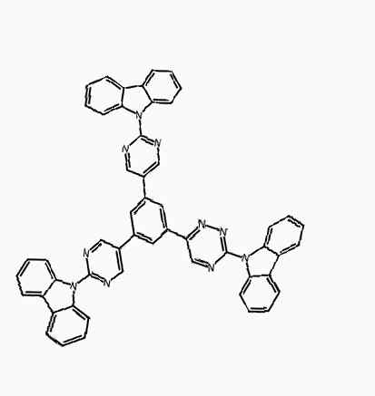 c1ccc2c(c1)c1ccccc1n2-c1ncc(-c2cc(-c3cnc(-n4c5ccccc5c5ccccc54)nc3)cc(-c3cnc(-n4c5ccccc5c5ccccc54)nn3)c2)cn1